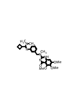 COc1cc2[nH]c(N(C)Cc3cccc(N=C(C4CCC4)N(C)C)c3)nc(=O)c2c(OC)c1OC